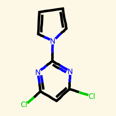 Clc1cc(Cl)nc(-n2cccc2)n1